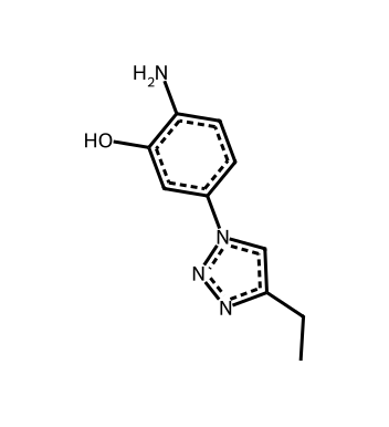 CCc1cn(-c2ccc(N)c(O)c2)nn1